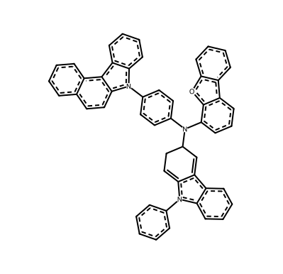 C1=c2c(n(-c3ccccc3)c3ccccc23)=CCC1N(c1ccc(-n2c3ccccc3c3c4ccccc4ccc32)cc1)c1cccc2c1oc1ccccc12